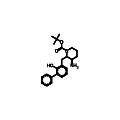 CC(C)(C)OC(=O)N1CCCC(N)C1Cc1cccc(-c2ccccc2)c1O